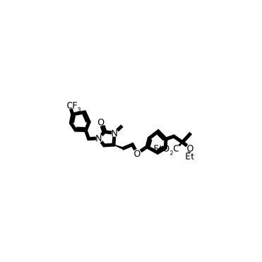 CCOC(=O)[C@](C)(Cc1ccc(OCC[C@H]2CN(Cc3ccc(C(F)(F)F)cc3)C(=O)N2C)cc1)OCC